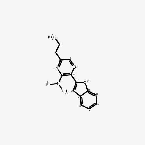 CC(C)N(C)c1nc(CCC(=O)O)cnc1-c1cc2ccccc2o1